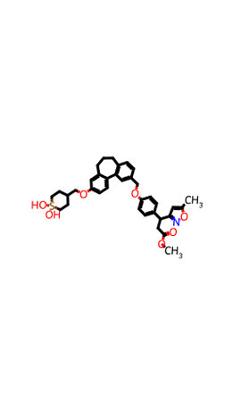 COC(=O)CC(c1ccc(OCc2ccc3c(c2)-c2ccc(OCC4CCS(O)(O)CC4)cc2CCC3)cc1)c1cc(C)on1